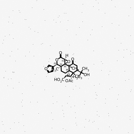 CC(=O)O[C@H](CC(=O)O)[C@]1(C)[C@H]2CC[C@@]3(C)[C@@H](c4ccoc4)OC(=O)[C@H]4O[C@]43[C@]2(C)C(=O)C[C@H]1C(C)(C)O